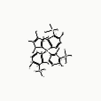 CC1=C(C)C(C)C([Si](c2ccc(C)c([Si](C)(C)C)c2C)(c2ccc(C)c([Si](C)(C)C)c2C)c2ccc(C)c([Si](C)(C)C)c2C)=C1C